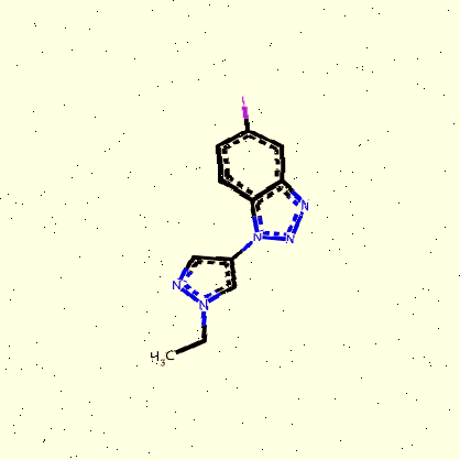 CCn1cc(-n2nnc3cc(I)ccc32)cn1